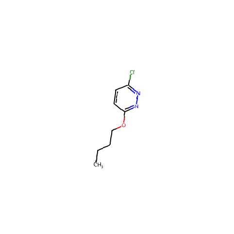 CCCCOc1ccc(Cl)nn1